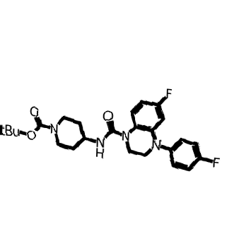 CC(C)(C)OC(=O)N1CCC(NC(=O)N2CCN(c3ccc(F)cc3)c3cc(F)ccc32)CC1